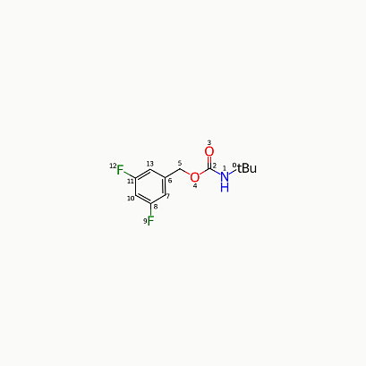 CC(C)(C)NC(=O)OCc1cc(F)cc(F)c1